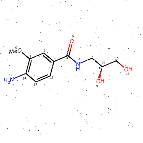 COc1cc(C(=O)NC[C@H](O)CO)ccc1N